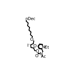 CCCCCCCCCCCCCCCCCCOCC1CCC(COC(=O)N(Cc2cccc[n+]2CC)C(C)=O)O1.[I-]